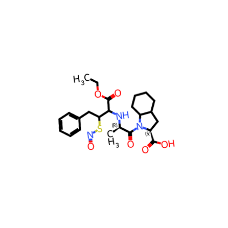 CCOC(=O)C(N[C@H](C)C(=O)N1C2CCCCC2C[C@H]1C(=O)O)C(Cc1ccccc1)SN=O